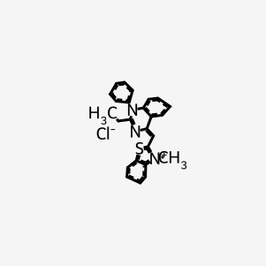 CCC1=N/C(=C\c2sc3ccccc3[n+]2C)c2ccccc2N1c1ccccc1.[Cl-]